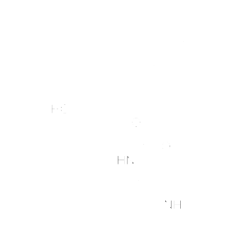 CC(C)(CN)NC(=O)OCC1c2ccccc2-c2ccccc21.Cl